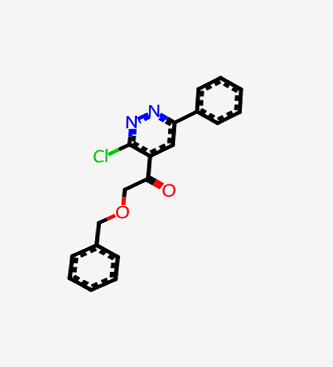 O=C(COCc1ccccc1)c1cc(-c2ccccc2)nnc1Cl